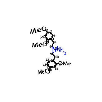 COc1ccc(CCN(N)CCc2ccc(OC)cc2OC)c(OC)c1